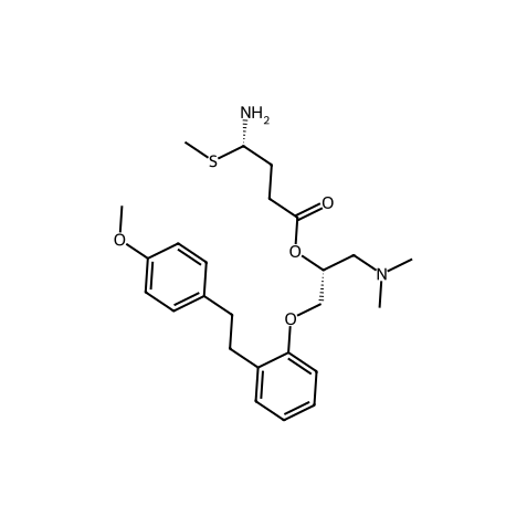 COc1ccc(CCc2ccccc2OC[C@@H](CN(C)C)OC(=O)CC[C@@H](N)SC)cc1